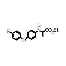 CCOC(=O)C(C)Nc1ccc(Oc2ccc(F)cc2)cc1